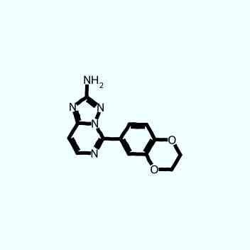 Nc1nc2ccnc(-c3ccc4c(c3)OCCO4)n2n1